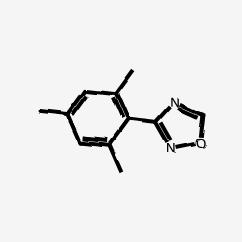 Cc1cc(C)c(-c2ncon2)c(C)c1